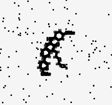 CNC1CCC(Nc2nc3cnc(-c4ccc(OC)nc4)cc3n(CCOCC(F)(F)F)c2=O)CC1